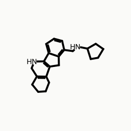 c1cc(CNC2CCCC2)c2c(c1)C1=C(C2)C2=C(CCCC2)CN1